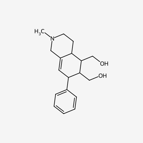 CN1CCC2C(=CC(c3ccccc3)C(CO)C2CO)C1